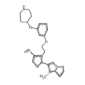 CCCc1cnc(-c2cc3sccc3n2C)n1CCOc1cccc(OC2CCNCC2)c1